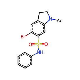 CC(=O)N1CCc2cc(Br)c(S(=O)(=O)Nc3ccccc3)cc21